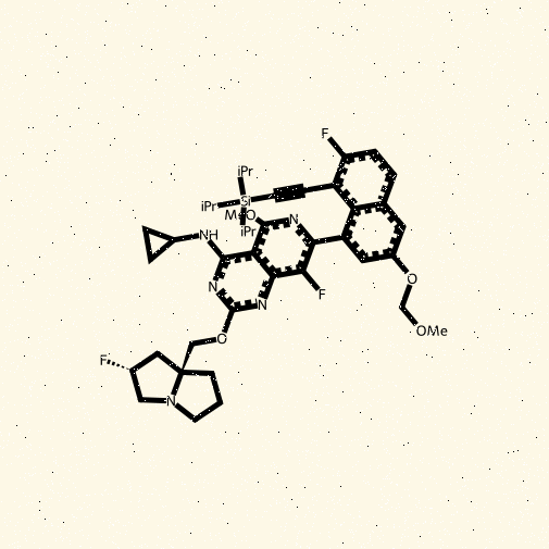 COCOc1cc(-c2nc(OC)c3c(NC4CC4)nc(OC[C@@]45CCCN4C[C@H](F)C5)nc3c2F)c2c(C#C[Si](C(C)C)(C(C)C)C(C)C)c(F)ccc2c1